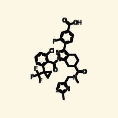 Cc1nc(CN(C)C(=O)C2CCc3c(-c4ccc(C(=O)O)cc4F)nn(C(=O)c4c(Cl)cccc4C4(C(F)(F)F)CC4)c3C2)cs1